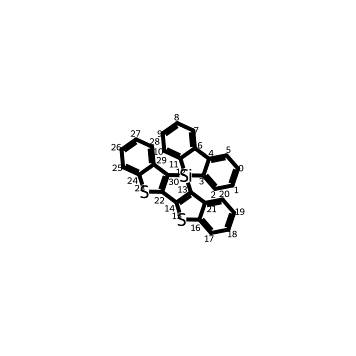 c1ccc2c(c1)-c1ccccc1[Si]21c2c(sc3ccccc23)-c2sc3ccccc3c21